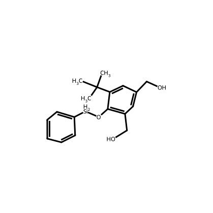 CC(C)(C)c1cc(CO)cc(CO)c1O[SiH2]c1ccccc1